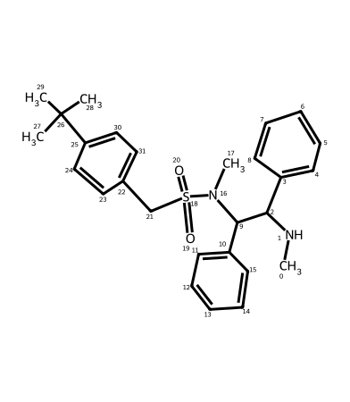 CNC(c1ccccc1)C(c1ccccc1)N(C)S(=O)(=O)Cc1ccc(C(C)(C)C)cc1